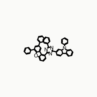 C1=CC2c3ccccc3N(c3ccccc3)C2C=C1c1nc(-c2ccccc2)nc(-c2cccc3oc4c(-c5ccccc5)cc(-c5ccccc5)cc4c23)n1